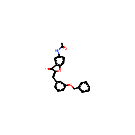 CC(=O)Nc1ccc2c(c1)C(=O)/C(=C/c1cccc(OCc3ccccc3)c1)O2